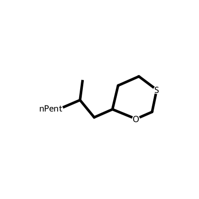 CCCCCC(C)CC1CCSCO1